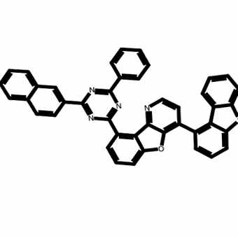 c1ccc(-c2nc(-c3ccc4ccccc4c3)nc(-c3cccc4oc5c(-c6cccc7sc8ccccc8c67)ccnc5c34)n2)cc1